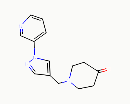 O=C1CCN(Cc2cnn(-c3cccnc3)c2)CC1